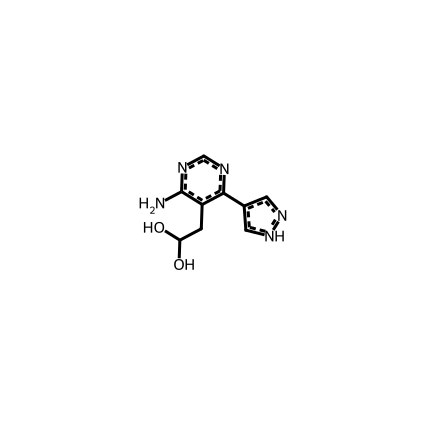 Nc1ncnc(-c2cn[nH]c2)c1CC(O)O